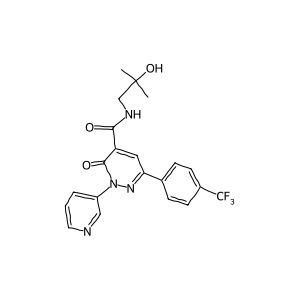 CC(C)(O)CNC(=O)c1cc(-c2ccc(C(F)(F)F)cc2)nn(-c2cccnc2)c1=O